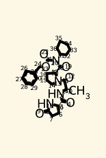 C[C@H](NC(=O)[C@@H]1CCC(=O)N1)C(=O)N1CCC[C@H]1C(=O)N(C(=O)OCc1ccccc1)C1CCCCC1